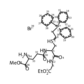 CCOC(=O)CNC(=O)C(C[SH]=CC[P+](c1ccccc1)(c1ccccc1)c1ccccc1)NC(=O)CCC(N)C(=O)OC.[Br-]